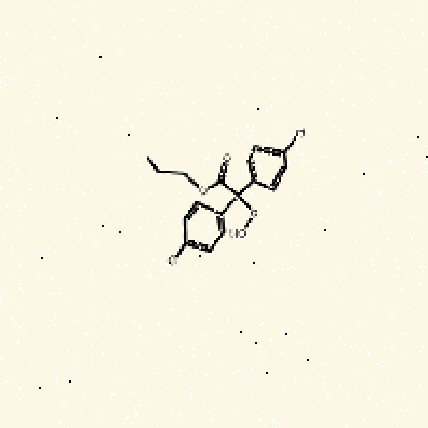 CCCOC(=O)C(OO)(c1ccc(Cl)cc1)c1ccc(Cl)cc1